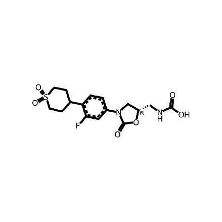 O=C(O)NC[C@H]1CN(c2ccc(C3CCS(=O)(=O)CC3)c(F)c2)C(=O)O1